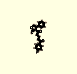 O=C(CCCC(=O)N1C(=S)OCC1c1ccccc1)c1ccc(F)cc1